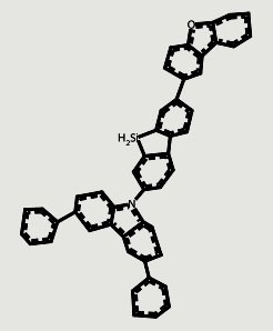 c1ccc(-c2ccc3c(c2)c2cc(-c4ccccc4)ccc2n3-c2ccc3c(c2)[SiH2]c2cc(-c4ccc5oc6ccccc6c5c4)ccc2-3)cc1